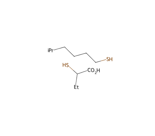 CC(C)CCCCS.CCC(S)C(=O)O